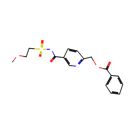 CC(C)OCCS(=O)(=O)NC(=O)c1ccc(COC(=O)c2ccccc2)nc1